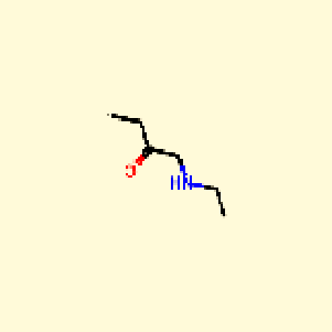 [CH2]CC(=O)CNCC